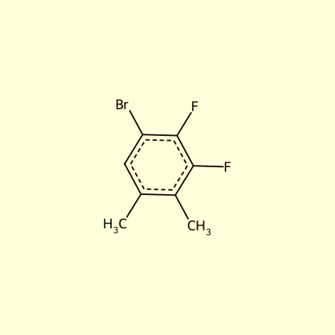 Cc1cc(Br)c(F)c(F)c1C